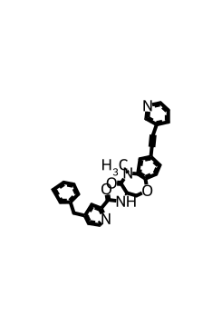 CN1C(=O)[C@@H](NC(=O)c2cc(Cc3ccccc3)ccn2)COc2ccc(C#Cc3cccnc3)cc21